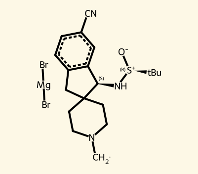 [Br][Mg][Br].[CH2]N1CCC2(CC1)Cc1ccc(C#N)cc1[C@H]2N[S@@+]([O-])C(C)(C)C